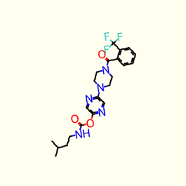 CC(C)CCNC(=O)Oc1cnc(N2CCN(C(=O)c3ccccc3C(F)(F)F)CC2)cn1